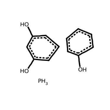 Oc1cccc(O)c1.Oc1ccccc1.P